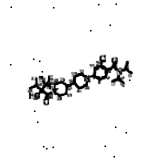 CC(C)N(C(=O)c1ccc(N2CCC(C3CCN(C(=O)C(O)(C(C)C)C(F)(F)F)CC3)CC2)cc1Cl)C(C)C